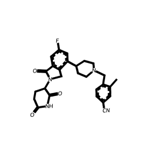 Cc1cc(C#N)ccc1CN1CCC(c2cc(F)cc3c2CN(C2CCC(=O)NC2=O)C3=O)CC1